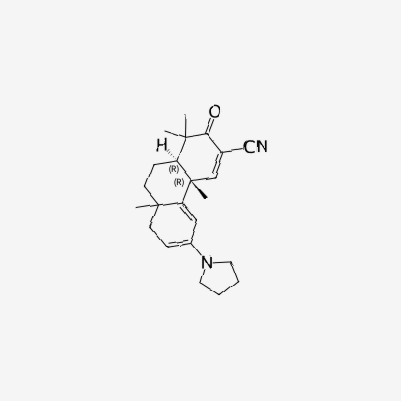 CC12CC=C(N3CCCC3)C=C1[C@@]1(C)C=C(C#N)C(=O)C(C)(C)[C@@H]1CC2